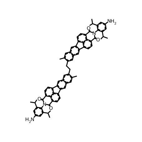 Cc1cc2cc3c(cc2cc1CCc1cc2cc4c(cc2cc1C)-c1ccc2c5c(ccc-4c15)C(=O)N(c1c(C(C)C)cc(N)cc1C(C)C)C2=O)-c1ccc2c4c(ccc-3c14)C(=O)N(c1c(C(C)C)cc(N)cc1C(C)C)C2=O